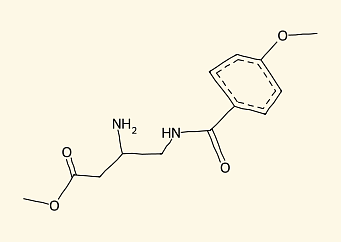 COC(=O)CC(N)CNC(=O)c1ccc(OC)cc1